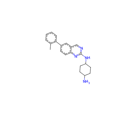 Cc1ccccc1-c1ccc2nc(NC3CCC(N)CC3)ncc2c1